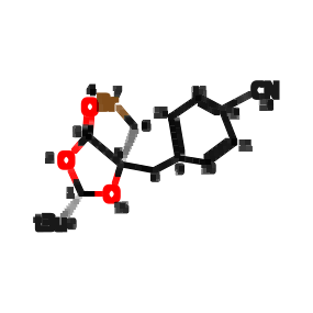 CC(C)(C)[C@@H]1OC(=O)[C@@](CBr)(Cc2ccc(C#N)cc2)O1